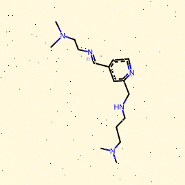 CN(C)CCCNCc1cc(/C=N/CCN(C)C)ccn1